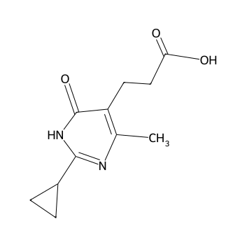 Cc1nc(C2CC2)[nH]c(=O)c1CCC(=O)O